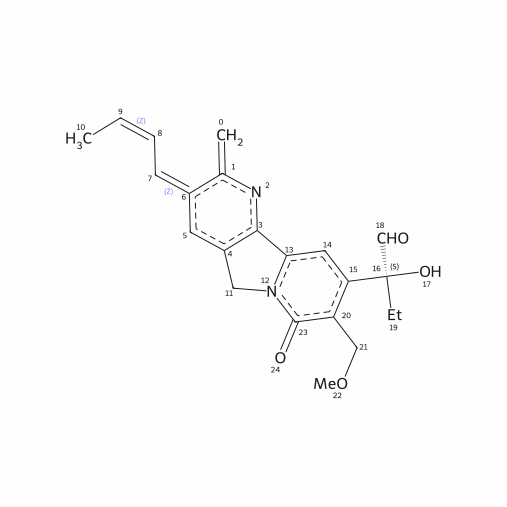 C=c1nc2c(c/c1=C/C=C\C)Cn1c-2cc([C@](O)(C=O)CC)c(COC)c1=O